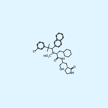 CC(C)(c1cccc(Cl)c1)C(c1ccc2ccccc2c1)N(C(=O)O)[C@@H](CC1CCCCC1)C(=O)N[C@H](CO)C[C@@H]1CCNC1=O